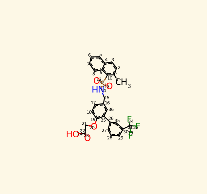 Cc1ccc2ccccc2c1S(=O)(=O)NCc1ccc(OCC(=O)O)c(-c2cccc(C(F)(F)F)c2)c1